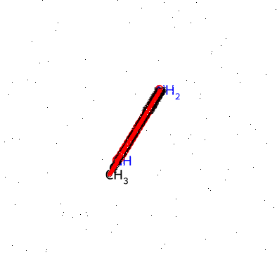 CCCCCCCCCCCCCCCCCCCCCC(=O)NCCOCCOCCOCCOCCOCCOCCOCCOCCOCCOCCOCCOCCOCCOCCOCCOCCOCCOCCOCCOCCOCCOCCOCCOCCOCCOCCOCCOCCOCCOCCOCCOCCOCCOCCOCCOCCC(N)=O